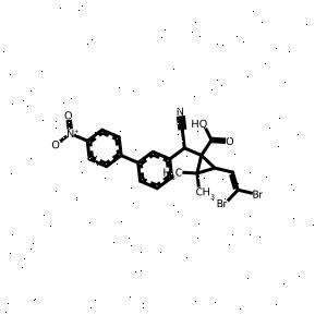 CC1(C)C(C=C(Br)Br)C1(C(=O)O)C(C#N)c1cccc(-c2ccc([N+](=O)[O-])cc2)c1